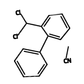 CC#N.ClC(Cl)c1ccccc1-c1ccccc1